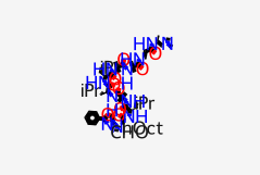 CCCCCCCC[C@@H](C(=O)N[C@@H](CC(C)C)C(=O)NC(C)(C)C(=O)N[C@@H](CC(C)C)C(=O)N[C@@H](CC(C)C)C(=O)NC(C)(C)C(=O)NC(C)(C)C(=O)NCCC(=O)N[C@@H](C)CN(C)C)N(C=O)c1coc(-c2ccccc2)n1